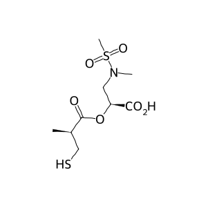 C[C@H](CS)C(=O)O[C@@H](CN(C)S(C)(=O)=O)C(=O)O